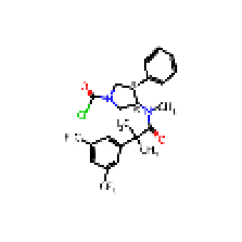 CN(C(=O)C(C)(C)c1cc(C(F)(F)F)cc(C(F)(F)F)c1)[C@H]1CN(C(=O)Cl)C[C@H]1c1ccccc1